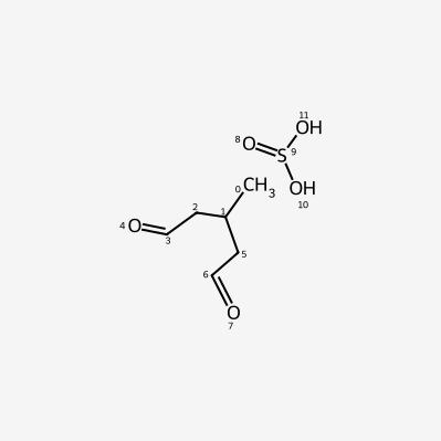 CC(CC=O)CC=O.O=S(O)O